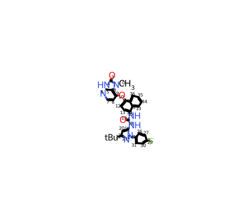 Cn1c(=O)[nH]c2nccc(Oc3ccc(NC(=O)Nc4cc(C(C)(C)C)nn4-c4ccc(F)cc4)c4ccccc34)c21